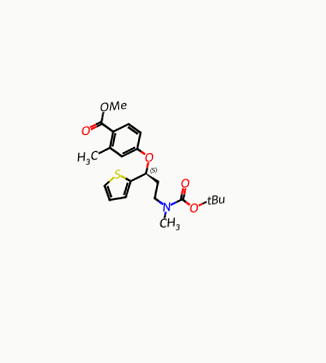 COC(=O)c1ccc(O[C@@H](CCN(C)C(=O)OC(C)(C)C)c2cccs2)cc1C